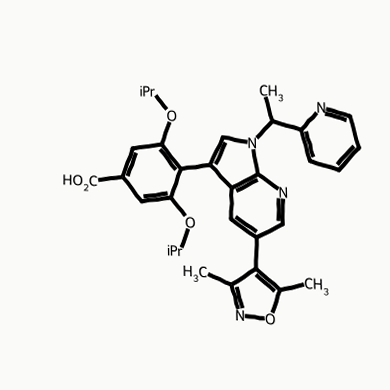 Cc1noc(C)c1-c1cnc2c(c1)c(-c1c(OC(C)C)cc(C(=O)O)cc1OC(C)C)cn2C(C)c1ccccn1